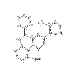 COc1cccc2c1-c1ccc(-c3ccccc3N)cc1C(c1ccccc1)O2